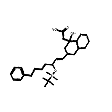 CC(C)(C)[Si](C)(C)OC(/C=C/C1CC2CCCCC2C(O)(CC(=O)O)C1)CCCCc1ccccc1